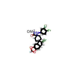 COC(=O)C1(Nc2ccc(F)c(Cl)c2)CCC2(CC1)C(Br)=Cc1cc3c(cc12)OCO3